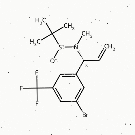 C=C[C@H](c1cc(Br)cc(C(F)(F)F)c1)N(C)[S+]([O-])C(C)(C)C